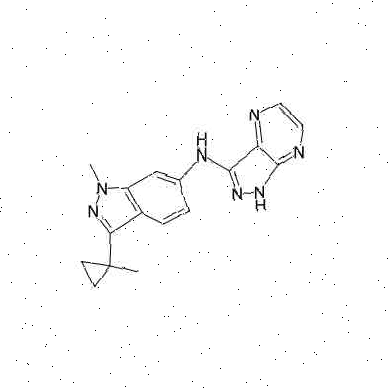 Cn1nc(C2(C)CC2)c2ccc(Nc3n[nH]c4nccnc34)cc21